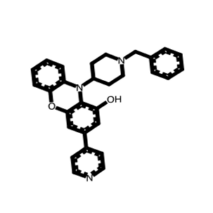 Oc1cc(-c2ccncc2)cc2c1N(C1CCN(Cc3ccccc3)CC1)c1ccccc1O2